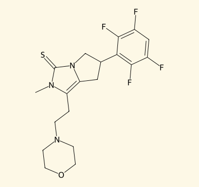 Cn1c(CCN2CCOCC2)c2n(c1=S)CC(c1c(F)c(F)cc(F)c1F)C2